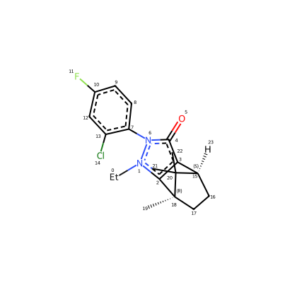 CCn1c2c(c(=O)n1-c1ccc(F)cc1Cl)[C@H]1CC[C@]2(C)C1(C)C